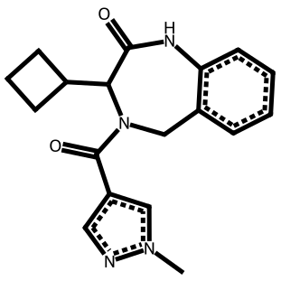 Cn1cc(C(=O)N2Cc3ccccc3NC(=O)C2C2CCC2)cn1